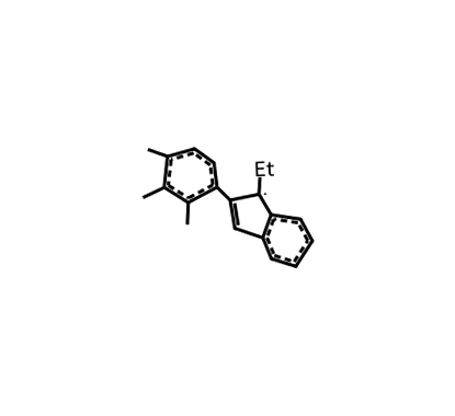 CC[C]1C(c2ccc(C)c(C)c2C)=Cc2ccccc21